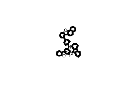 CC1(C)c2ccccc2-c2cccc(N(c3ccc(-c4cccc5oc6c7c(ccc6c45)CCC=C7)cc3)c3ccc4oc5c(c4c3)C=CCC5)c21